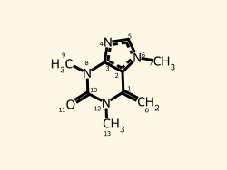 C=C1c2c(ncn2C)N(C)C(=O)N1C